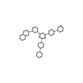 c1ccc(-c2ccc(-c3nc(-c4ccc(-c5cccnc5)cc4)cc(-c4cccc(-c5ccc6ccccc6c5)c4)n3)cc2)cc1